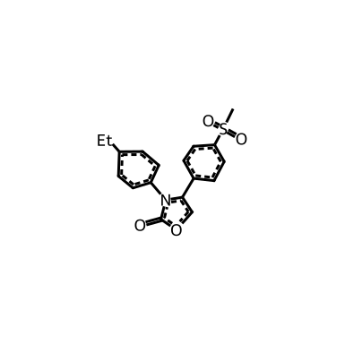 CCc1ccc(-n2c(-c3ccc(S(C)(=O)=O)cc3)coc2=O)cc1